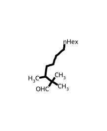 CCCCCCCCCCC(C)C(C)(C)C=O